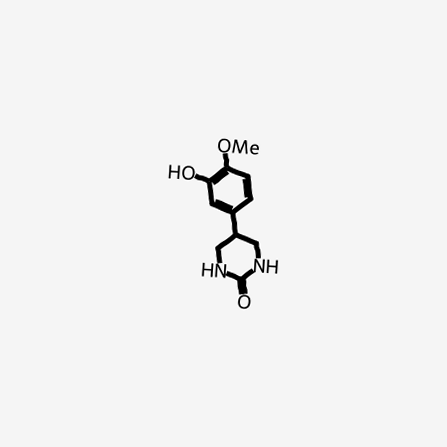 COc1ccc(C2CNC(=O)NC2)cc1O